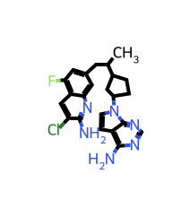 CC(Cc1cc(F)c2cc(Cl)c(N)nc2c1)C1CCC(n2ccc3c(N)ncnc32)C1